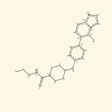 CCONC(=O)N1CCC(Oc2ccc(-c3ccc4nccn4c3C)cc2)CC1